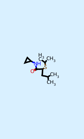 CC(C)CC(SC(C)C)C(=O)NC1CC1